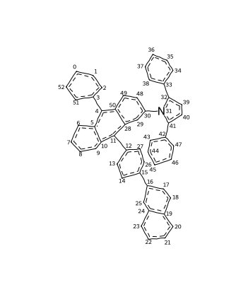 c1ccc(-c2c3ccccc3c(-c3ccc(-c4ccc5ccccc5c4)cc3)c3cc(-n4c(-c5ccccc5)ccc4-c4ccccc4)ccc23)cc1